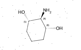 N[C@H]1[C@H](O)CCC[C@@H]1O